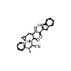 CC(c1ccccn1)C(C#N)NC(=O)C(CC1CC1)NC(=O)c1cc2ccccc2[nH]1